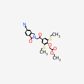 CCOC(=O)COc1c(SCC)cc(C(=O)CN2Cc3cc(C#N)ccc3C2=O)cc1SCC